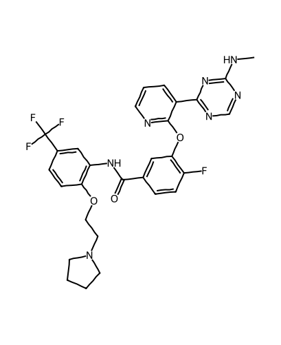 CNc1ncnc(-c2cccnc2Oc2cc(C(=O)Nc3cc(C(F)(F)F)ccc3OCCN3CCCC3)ccc2F)n1